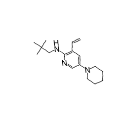 C=Cc1cc(N2CCCCC2)cnc1NCC(C)(C)C